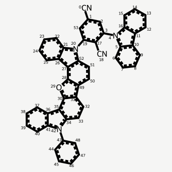 N#Cc1cc(-n2c3ccccc3c3ccccc32)c(C#N)c(-n2c3ccccc3c3c4oc5c(ccc6c5c5ccccc5n6-c5ccccc5)c4ccc32)c1